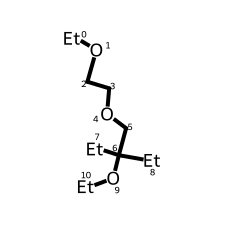 CCOCCOCC(CC)(CC)OCC